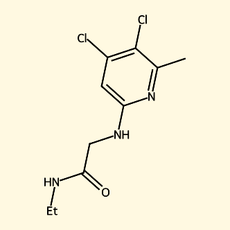 CCNC(=O)CNc1cc(Cl)c(Cl)c(C)n1